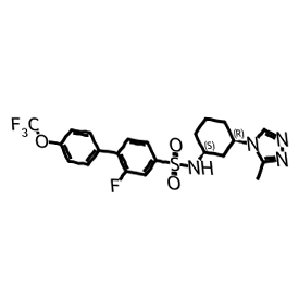 Cc1nncn1[C@@H]1CCC[C@H](NS(=O)(=O)c2ccc(-c3ccc(OC(F)(F)F)cc3)c(F)c2)C1